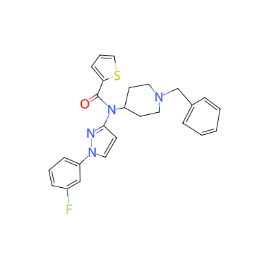 O=C(c1cccs1)N(c1ccn(-c2cccc(F)c2)n1)C1CCN(Cc2ccccc2)CC1